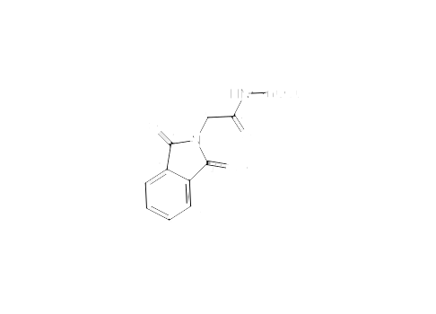 CCCCCCCCNC(=O)CN1C(=O)c2ccccc2C1=O